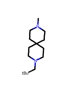 CN1CCC2(CC1)CCN(CC(C)(C)C)CC2